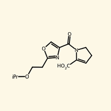 CC(C)OCCc1nc(C(=O)N2CCC=C2C(=O)O)co1